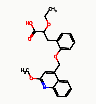 CCOC(Cc1ccccc1OCc1cc(OC)nc2ccccc12)C(=O)O